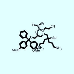 CCCCC(CCCN)(CCCN)COCC(COC(c1ccccc1)(c1ccc(OC)cc1)c1ccc(OC)cc1)OP(OCCC#N)N(C(C)C)C(C)C